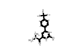 CN(C)C(=O)c1cc(-c2ccc(C(F)(F)F)cc2)nc(Cl)n1